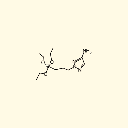 CCO[Si](CCCn1ncc(N)n1)(OCC)OCC